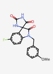 COc1cccc(CN2C(=O)C3(NC(=O)NC3=O)c3cc(F)ccc32)c1